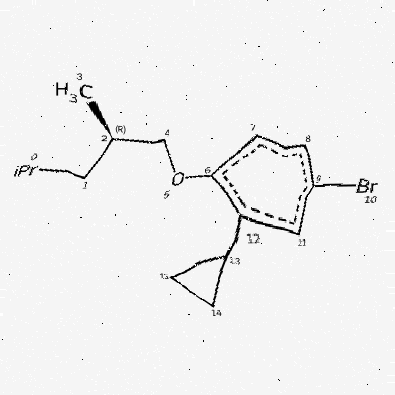 CC(C)C[C@@H](C)COc1ccc(Br)cc1C1CC1